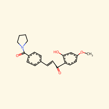 COc1ccc(C(=O)/C=C/c2ccc(C(=O)N3CCCC3)cc2)c(O)c1